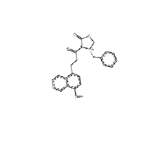 COc1ccc(CCC(=O)N2C(=O)OC[C@@H]2Cc2ccccc2)c2ccccc12